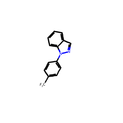 FC(F)(F)c1ccc(-n2ncc3c[c]ccc32)cc1